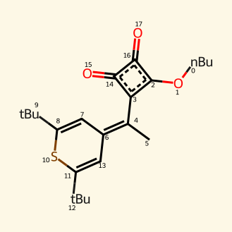 CCCCOc1c(C(C)=C2C=C(C(C)(C)C)SC(C(C)(C)C)=C2)c(=O)c1=O